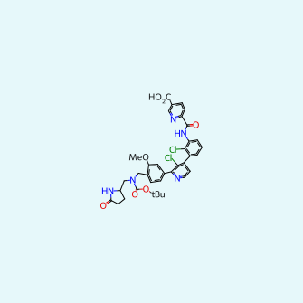 COc1cc(-c2nccc(-c3cccc(NC(=O)c4ccc(C(=O)O)cn4)c3Cl)c2Cl)ccc1CN(CC1CCC(=O)N1)C(=O)OC(C)(C)C